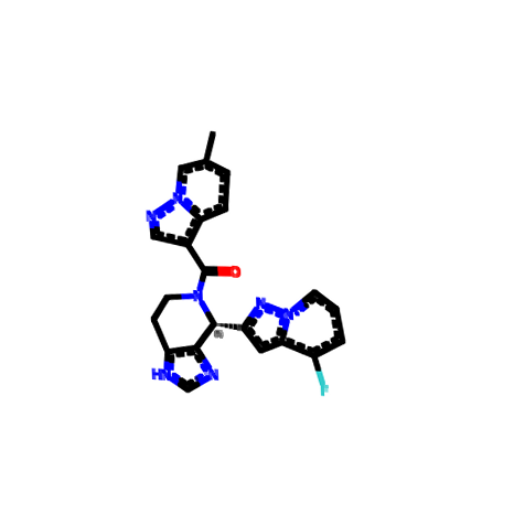 Cc1ccc2c(C(=O)N3CCc4[nH]cnc4[C@H]3c3cc4c(F)cccn4n3)cnn2c1